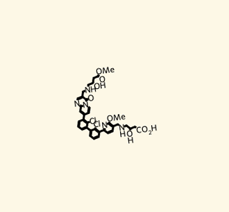 COC(=O)CC(O)CNCc1cnc2cc(-c3cccc(-c4cccc(-c5ccc(CNCC(O)CC(=O)O)c(OC)n5)c4Cl)c3Cl)ccn2c1=O